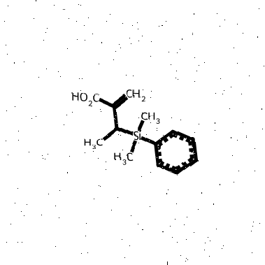 C=C(C(=O)O)C(C)[Si](C)(C)c1ccccc1